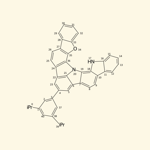 CC(C)c1cc(-c2cc3c4ccc5c6ccccc6[nH]c5c4n4c3c(c2)c2ccc3c5ccccc5oc3c24)cc(C(C)C)c1